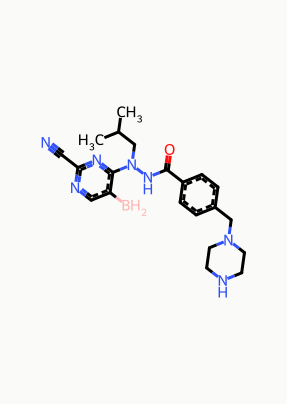 Bc1cnc(C#N)nc1N(CC(C)C)NC(=O)c1ccc(CN2CCNCC2)cc1